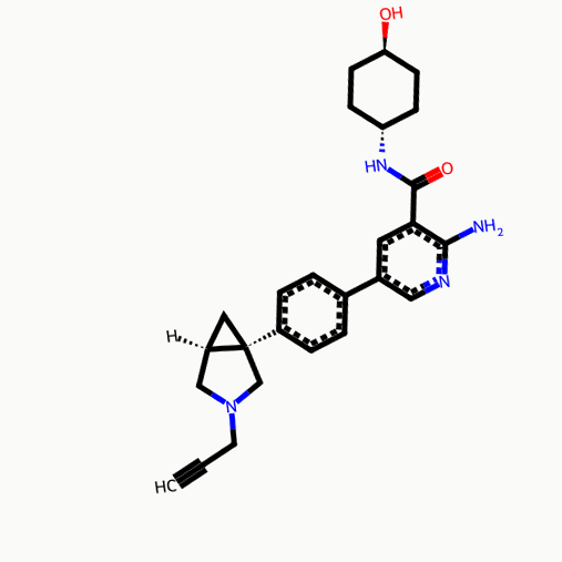 C#CCN1C[C@H]2C[C@@]2(c2ccc(-c3cnc(N)c(C(=O)N[C@H]4CC[C@H](O)CC4)c3)cc2)C1